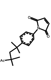 CC(=O)C(C)(C)CC(C)(C)c1ccc(N2C(=O)C=CC2=O)cc1